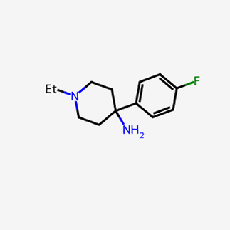 CCN1CCC(N)(c2ccc(F)cc2)CC1